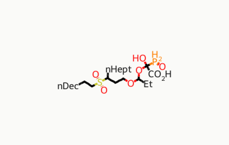 CCCCCCCCCCCCS(=O)(=O)C(CCCCCCC)CCOC(CC)OC(O)([PH2]=O)C(=O)O